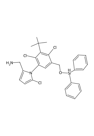 CC(C)(C)c1c(Cl)c(CO[SiH](c2ccccc2)c2ccccc2)cc(-n2c(Cl)ccc2CN)c1Cl